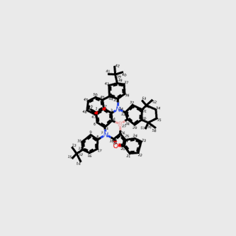 Cc1cc2c3c(c1)N(c1ccc(C(C)(C)C)cc1)c1oc4ccccc4c1B3c1cc3c(cc1N2c1ccc(C(C)(C)C)cc1-c1ccccc1)C(C)(C)CCC3(C)C